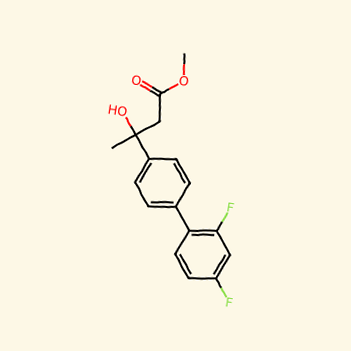 COC(=O)CC(C)(O)c1ccc(-c2ccc(F)cc2F)cc1